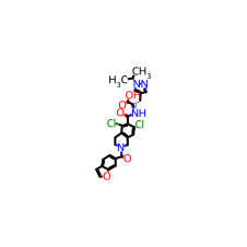 CC(C)n1cc(C[C@H](NC(=O)c2c(Cl)cc3c(c2Cl)CCN(C(=O)c2ccc4ccoc4c2)C3)C(=O)O)cn1